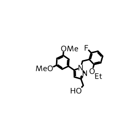 CCOc1cccc(F)c1Cn1nc(CO)cc1-c1cc(OC)cc(OC)c1